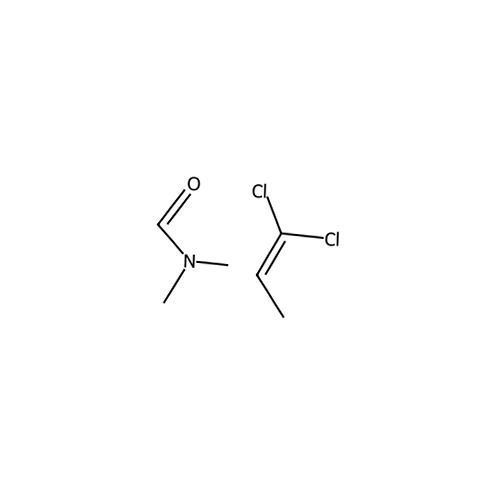 CC=C(Cl)Cl.CN(C)C=O